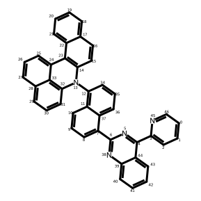 c1ccc(-c2nc(-c3cccc4c(N5c6ccc7ccccc7c6-c6cccc7cccc5c67)cccc34)nc3ccccc23)nc1